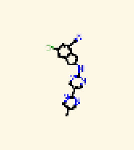 Cc1cnc(-c2cnc(N[C@H]3Cc4cc(Cl)cc(C#N)c4C3)nc2)nc1